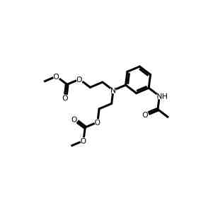 COC(=O)OCCN(CCOC(=O)OC)c1cccc(NC(C)=O)c1